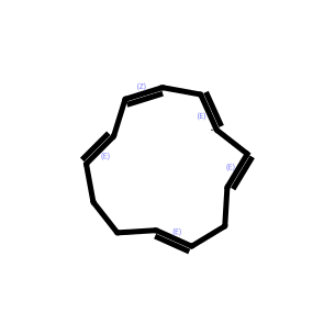 [C]1=C/C=C\C=C\CC/C=C/C/C=C/1